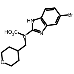 O=C(O)N(CC1CCOCC1)c1nc2cc(Br)ccc2[nH]1